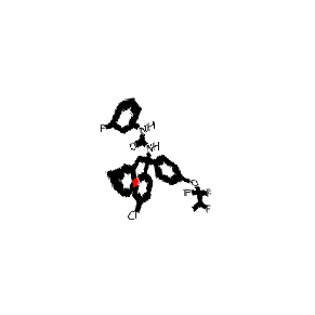 CC(F)C(F)(F)Oc1ccc(C(Cc2ccccc2)(NC(=O)Nc2cccc(F)c2)c2ccc(Cl)cn2)cc1